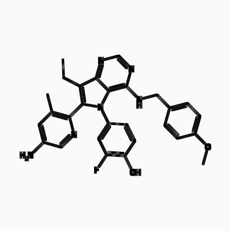 CCc1c(-c2ncc(N)cc2C)n(-c2ccc(O)c(F)c2)c2c(NCc3ccc(OC)cc3)ncnc12